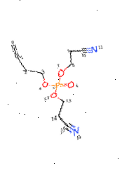 C#CCCOP(=O)(OCCC#N)OCCC#N